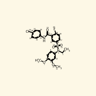 CCN(c1ccc(OC)c(OC)c1)S(=O)(=O)c1ccc(F)c(C(=O)Nc2ccc(Cl)cc2)c1